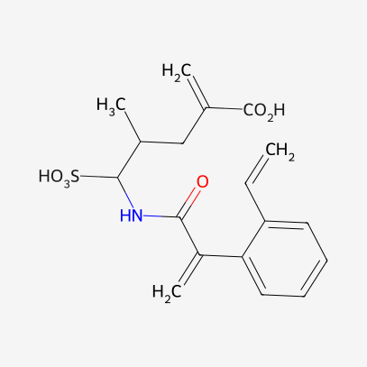 C=Cc1ccccc1C(=C)C(=O)NC(C(C)CC(=C)C(=O)O)S(=O)(=O)O